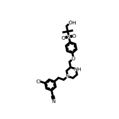 CC(C)(CO)S(=O)(=O)c1ccc(OCC2CN(CCc3cc(Cl)cc(C#N)c3)CCN2)cc1